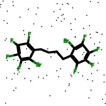 Fc1c(F)c(F)c(CCCCc2c(F)c(F)c(F)c(F)c2Br)c(Br)c1F